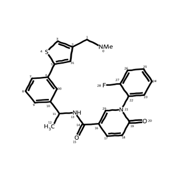 CNCc1csc(-c2cccc(C(C)NC(=O)c3ccc(=O)n(-c4ccccc4F)c3)c2)c1